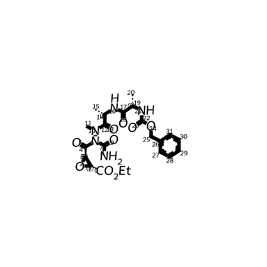 CCOC(=O)[C@@H]1O[C@H]1C(=O)N(C(N)=O)N(C)C(=O)[C@H](C)NC(=O)[C@H](C)NC(=O)OCc1ccccc1